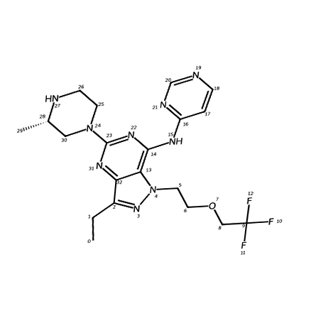 CCc1nn(CCOCC(F)(F)F)c2c(Nc3ccncn3)nc(N3CCN[C@@H](C)C3)nc12